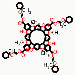 COc1cc(O)c2cc1C(c1ccc(C(=O)OCCOC3(C)CCCCC3)cc1)c1cc(c(OC)cc1O)C(c1ccc(C(=O)OCCOC3(C)CCCCC3)cc1)c1cc(c(OC)cc1O)C(c1ccc(C(=O)OCCOC3(C)CCCCC3)cc1)c1cc(c(OC)cc1O)C2c1ccc(C(=O)OCCOC2(C)CCCCC2)cc1